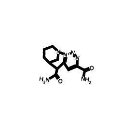 NC(=O)c1cc2[n+](nn1)N1CCCC(C1)C2C(N)=O